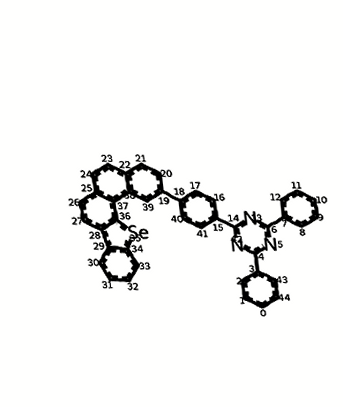 c1ccc(-c2nc(-c3ccccc3)nc(-c3ccc(-c4ccc5ccc6ccc7c8ccccc8[se]c7c6c5c4)cc3)n2)cc1